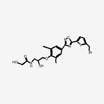 Cc1cc(-c2noc(-c3ccc(CC(C)C)s3)n2)cc(C)c1OCC(O)CNC(=O)CO